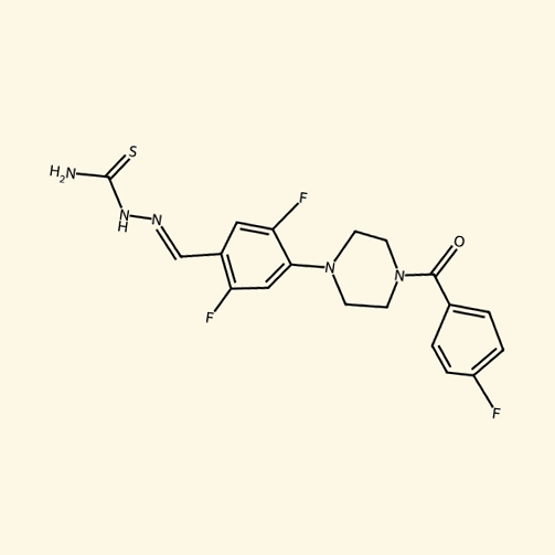 NC(=S)NN=Cc1cc(F)c(N2CCN(C(=O)c3ccc(F)cc3)CC2)cc1F